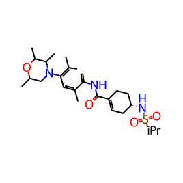 C=C(NC(=O)C1=CC[C@@H](NS(=O)(=O)C(C)C)CC1)/C(C)=C\C(=C(C)C)N1CC(C)OC(C)C1C